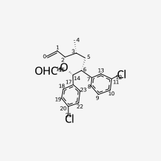 C=CC[C@H](C)C[C@H](c1cccc(Cl)c1)[C@@H](OC=O)c1ccc(Cl)cc1